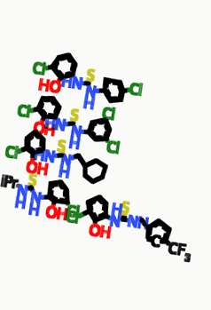 CC(C)NC(=S)Nc1cccc(Cl)c1O.Oc1c(Cl)cccc1NC(=S)NCC1CCCCC1.Oc1c(Cl)cccc1NC(=S)NCc1ccc(C(F)(F)F)cc1.Oc1c(Cl)cccc1NC(=S)Nc1cc(Cl)cc(Cl)c1.Oc1c(Cl)cccc1NC(=S)Nc1ccc(Cl)cc1